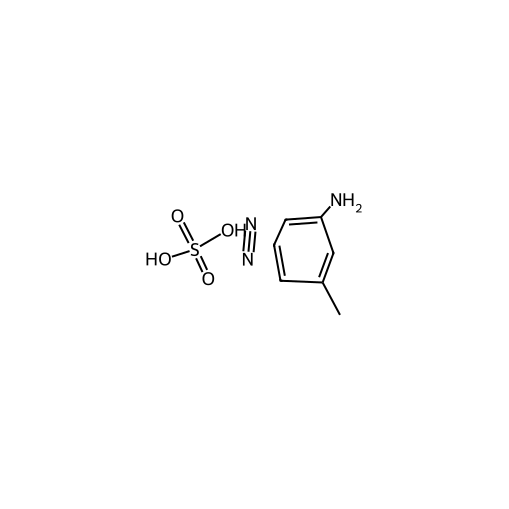 Cc1cccc(N)c1.N#N.O=S(=O)(O)O